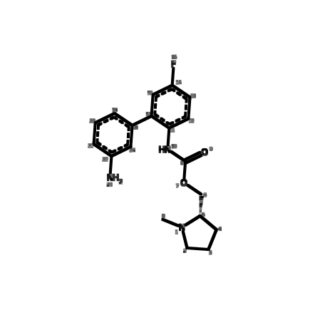 CN1CCC[C@H]1COC(=O)Nc1ccc(F)cc1-c1cccc(N)c1